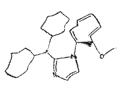 COc1ccccc1-n1ccnc1P(C1CCCCC1)C1CCCCC1